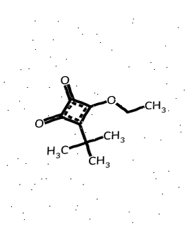 CCOc1c(C(C)(C)C)c(=O)c1=O